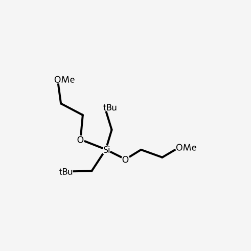 COCCO[Si](CC(C)(C)C)(CC(C)(C)C)OCCOC